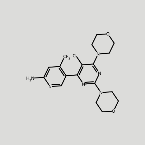 Nc1cc(C(F)(F)F)c(-c2nc(N3CCOCC3)nc(N3CCOCC3)c2Cl)cn1